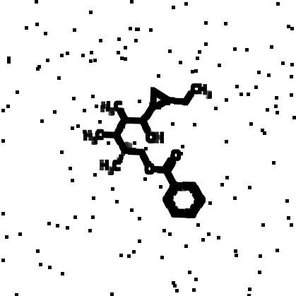 CCC1CC1C(O)C(C)C(C)[C@@H](C)COC(=O)c1ccccc1